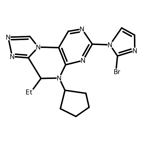 CCC1c2nncn2-c2cnc(-n3ccnc3Br)nc2N1C1CCCC1